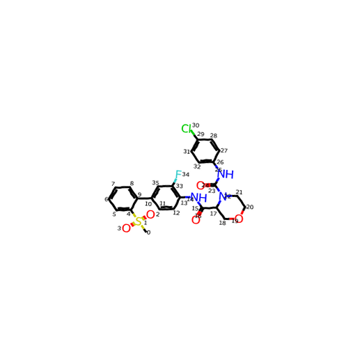 CS(=O)(=O)c1ccccc1-c1ccc(NC(=O)C2COCCN2C(=O)Nc2ccc(Cl)cc2)c(F)c1